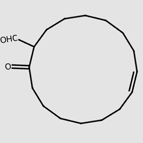 O=CC1CCCCCCC=CCCCCCCC1=O